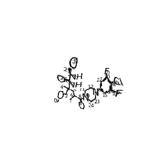 COCC(C)(CC(C)C(=O)N1CCN(c2cc(F)c(Cl)c(F)c2)CC1)NC(=O)NC=O